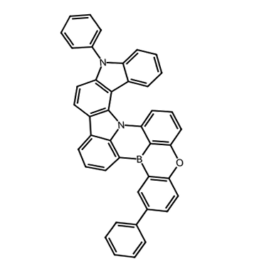 c1ccc(-c2ccc3c(c2)B2c4c(cccc4-n4c5c2cccc5c2ccc5c(c6ccccc6n5-c5ccccc5)c24)O3)cc1